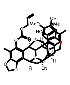 C=CCOC(=O)Oc1c(C)c2c(c3c1[C@H]1SC[C@]4(NCCc5cc(O)c(OC)cc54)C(=O)OC[C@@H]3N3C1[C@H]1c4c(cc(C)c(OC)c4O)C[C@@H]([C@@H]3C#N)N1C)OCO2